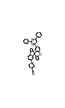 N#Cc1ccc(-c2ccc3c(c2)C2(c4ccccc4Oc4ccc(-c5cc(-c6ccccc6)nc(-c6ccccc6)n5)cc42)c2ccccc2-3)cc1